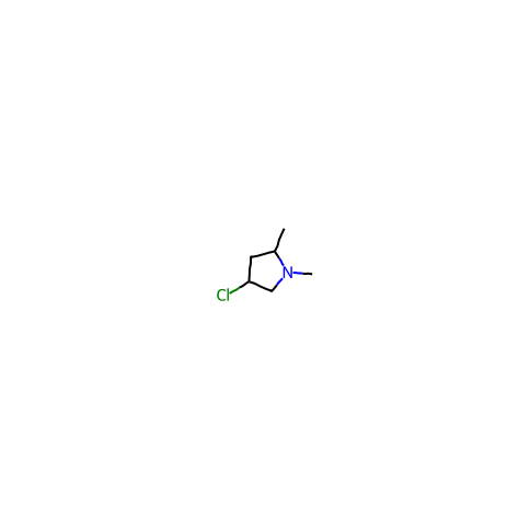 CC1CC(Cl)CN1C